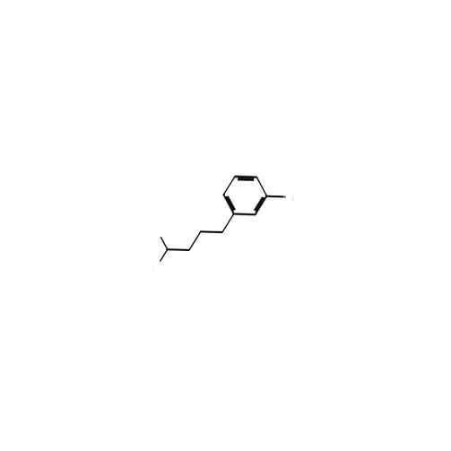 FC(F)CCCc1cccc(Br)c1